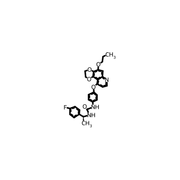 CCCOc1cc2nccc(Oc3ccc(NC(=O)N[C@@H](C)c4ccc(F)cc4)cc3)c2c2c1OCCO2